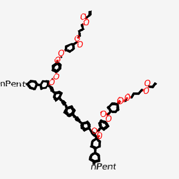 C=CC(=O)OCCCCOCOC1CCC(C(=O)Oc2ccc(C(=O)OC3(C#Cc4ccc(C#Cc5ccc(C#Cc6ccc(C#CC7(OCOc8ccc(OCOC9CCC(C(=O)OCCCCOC(=O)C=C)CC9)cc8)CCC(C8CCC(CCCCC)CC8)CC7)cc6)cc5)cc4)CCC(C4CCC(CCCCC)CC4)CC3)cc2)CC1